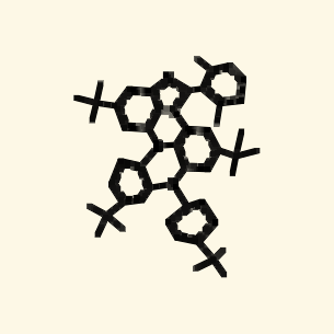 Cc1cccc(C)c1-c1nc2cc(C(C)(C)C)cc3c2n1-c1cc(C(C)(C)C)cc2c1B3c1ccc(C(C)(C)C)cc1N2c1ccc(C(C)(C)C)cc1